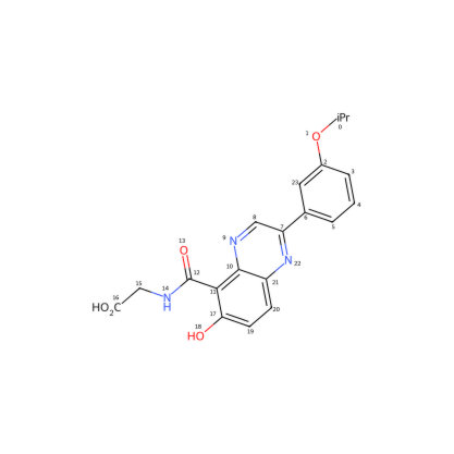 CC(C)Oc1cccc(-c2cnc3c(C(=O)NCC(=O)O)c(O)ccc3n2)c1